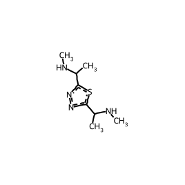 CNC(C)c1nnc(C(C)NC)s1